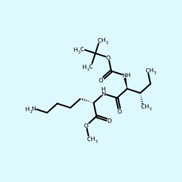 CC[C@H](C)[C@H](NC(=O)OC(C)(C)C)C(=O)N[C@@H](CCCCN)C(=O)OC